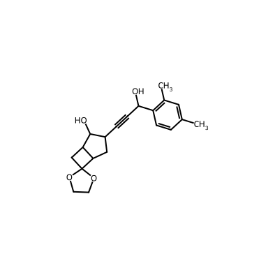 Cc1ccc(C(O)C#CC2CC3C(CC34OCCO4)C2O)c(C)c1